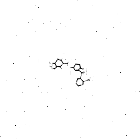 Cn1ncc2c(F)c(C(=O)Nc3ccc4[nH]nc(-c5ccccc5C#N)c4c3)c(F)cc21